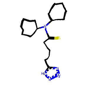 S=C(CCCc1nnn[nH]1)N(C1CCCCC1)C1CCCCC1